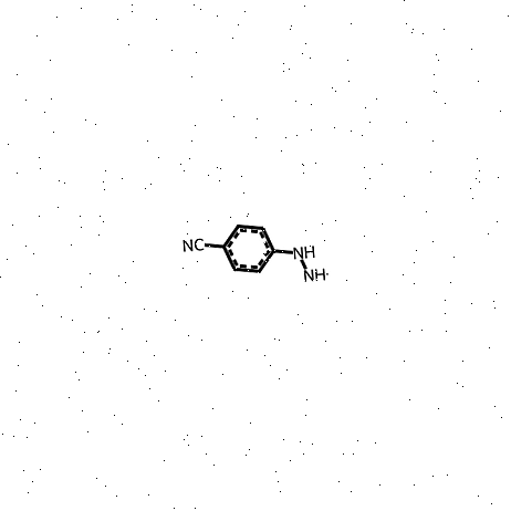 N#Cc1ccc(N[NH])cc1